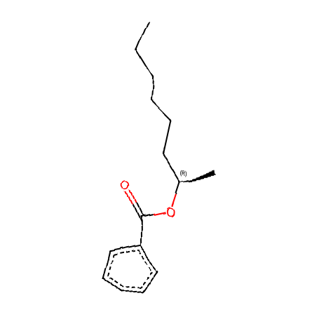 CCCCCC[C@@H](C)OC(=O)c1ccccc1